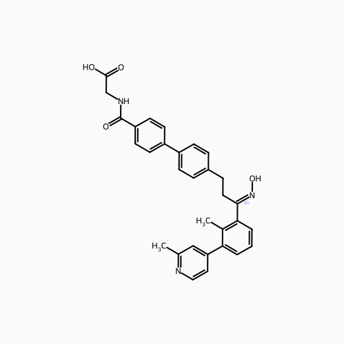 Cc1cc(-c2cccc(/C(CCc3ccc(-c4ccc(C(=O)NCC(=O)O)cc4)cc3)=N/O)c2C)ccn1